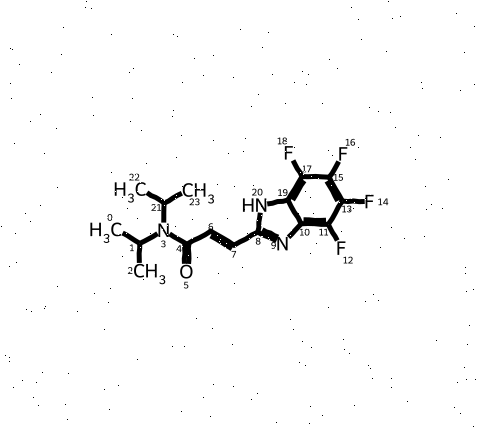 CC(C)N(C(=O)C=Cc1nc2c(F)c(F)c(F)c(F)c2[nH]1)C(C)C